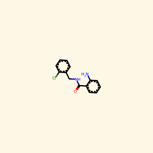 Nc1ccccc1C(=O)NCc1ccccc1Cl